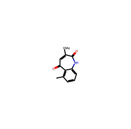 COc1cc(=O)c2c(C)cccc2[nH]c1=O